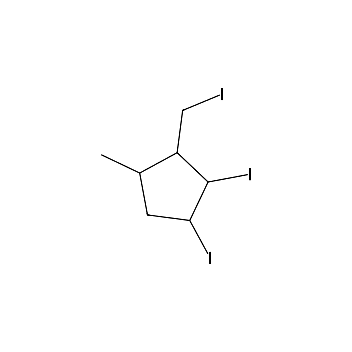 CC1CC(I)C(I)C1CI